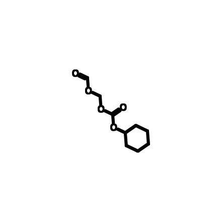 O=COCOC(=O)OC1CCCCC1